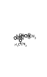 C=C(C)c1ccc2c(c1)nc(Nc1ccc(S(C)(=O)=O)cc1)n2[C@@H](C)c1nc2ccccc2[nH]1